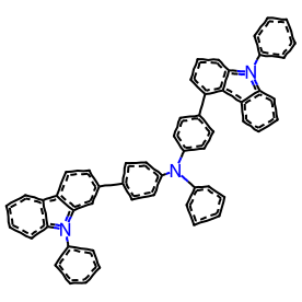 c1ccc(N(c2ccc(-c3ccc4c5ccccc5n(-c5ccccc5)c4c3)cc2)c2ccc(-c3cccc4c3c3ccccc3n4-c3ccccc3)cc2)cc1